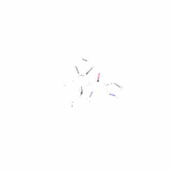 CCCC1=C(C(C)C)N=C[N+]1(C(=O)n1ccnc1)c1ccccc1